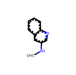 O=CNc1[c]nc2ccccc2c1